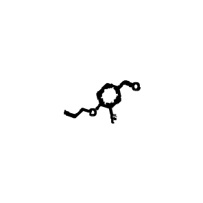 C=CCOc1ccc(C=O)cc1F